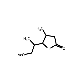 CC(=O)OCC(C)C1OC(=O)CC1C